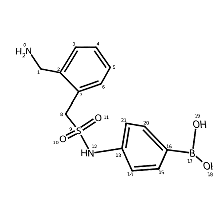 NCc1ccccc1CS(=O)(=O)Nc1ccc(B(O)O)cc1